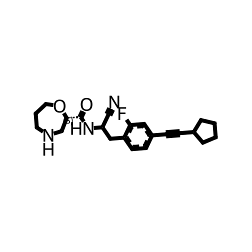 N#CC(Cc1ccc(C#CC2CCCC2)cc1F)NC(=O)[C@@H]1CNCCCO1